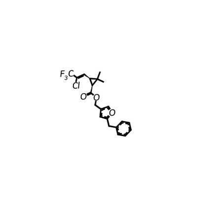 CC1(C)[C@H](C=C(Cl)C(F)(F)F)[C@@H]1C(=O)OCc1coc(Cc2ccccc2)c1